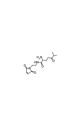 CC(C)C(=O)CCC(N)C(=O)NCCN1C(=O)C=CC1=O